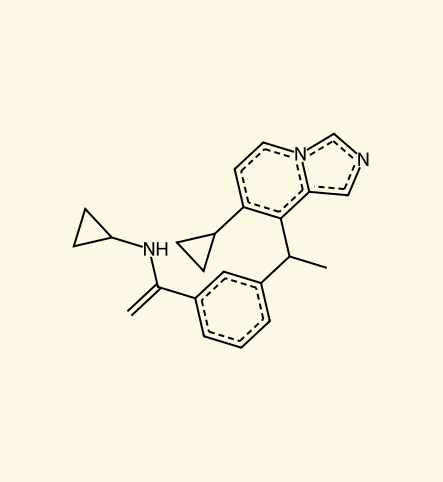 C=C(NC1CC1)c1cccc(C(C)c2c(C3CC3)ccn3cncc23)c1